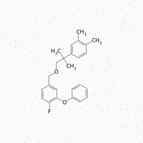 Cc1ccc(C(C)(C)COCc2ccc(F)c(Oc3ccccc3)c2)cc1C